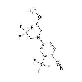 COCCN(CC(F)(F)F)c1ccc(C#N)c(C(F)(F)F)c1